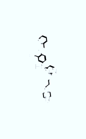 CN1CCN(CCCSc2nccc(Nc3ccc(OCc4ccccn4)c(Cl)c3)n2)CC1